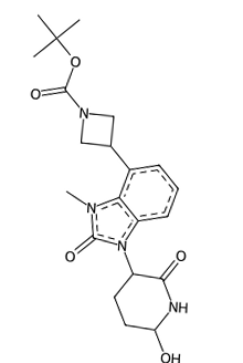 Cn1c(=O)n(C2CCC(O)NC2=O)c2cccc(C3CN(C(=O)OC(C)(C)C)C3)c21